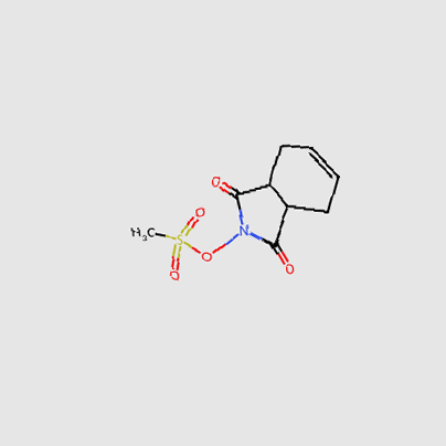 CS(=O)(=O)ON1C(=O)C2CC=CCC2C1=O